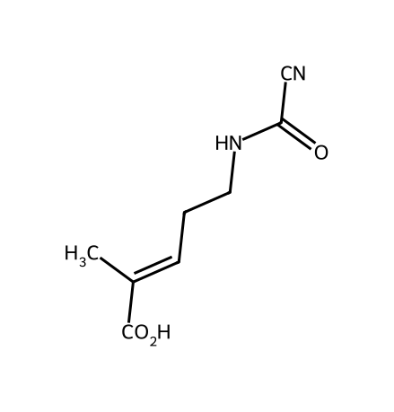 CC(=CCCNC(=O)C#N)C(=O)O